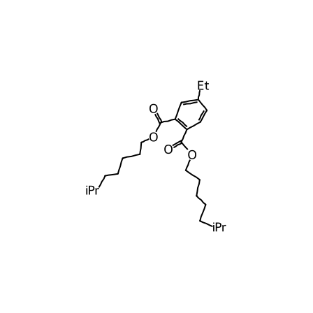 CCc1ccc(C(=O)OCCCCCC(C)C)c(C(=O)OCCCCCC(C)C)c1